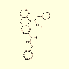 CC(CN1CCCC1)N1c2ccccc2Sc2ccc(C(=S)NCc3ccccc3)cc21